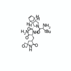 CC(C)(C)[C@H](N)C(=O)N1C[C@H]2[C@@H]([C@H]1C(=O)N[C@@H](CC1CC3(COC3)NC1=O)C(N)=O)[C@H]1C=C[C@@H]2C1